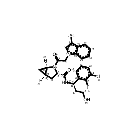 CC(=O)c1cn(CC(=O)N2[C@@H]3C[C@@H]3C[C@H]2C(=O)N[C@H](CCO)c2cccc(Cl)c2F)c2ccccc12